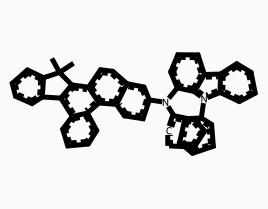 CC1(C)c2ccccc2-c2c1c1ccc3cc(N(c4ccccc4)c4cccc5c6ccccc6n(-c6ccccc6)c45)ccc3c1c1ccccc21